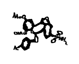 COc1cc(OC)cc(-c2coc3cc(S(N)(=O)=O)cc(C(=O)Oc4ccc(C(C)=O)cc4)c23)c1